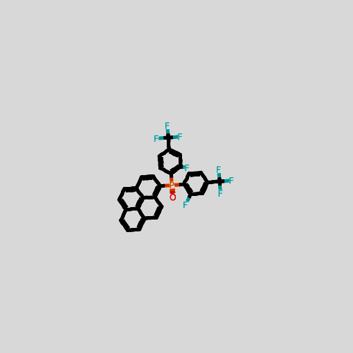 O=P(c1ccc(C(F)(F)F)cc1F)(c1ccc(C(F)(F)F)cc1F)c1ccc2ccc3cccc4ccc1c2c34